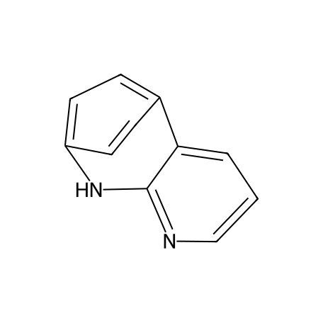 c1cnc2c(c1)-c1ccc(cc1)N2